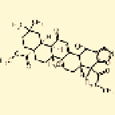 COC(=O)[C@]12CCC(C)(C)C[C@H]1[C@H]1C(=O)C=C3[C@@]4(C)Cc5cnoc5[C@](C)(C(=O)OC)[C@@H]4CC[C@@]3(C)[C@]1(C)CC2